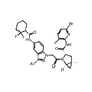 CC(=O)c1nn(CC(=O)N2[C@H](C(=O)Nc3nc(Br)ccc3C)C[C@@]3(C)C[C@@H]23)c2ccc(NC(=O)C3CCCCC3(F)F)cc12